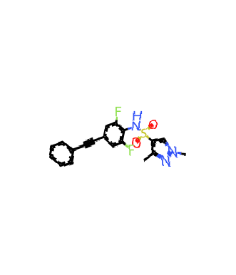 Cc1nn(C)cc1S(=O)(=O)Nc1c(F)cc(C#Cc2ccccc2)cc1F